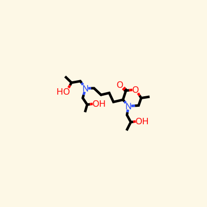 CC(O)CN(CCCCC1C(=O)OC(C)CN1CC(C)O)CC(C)O